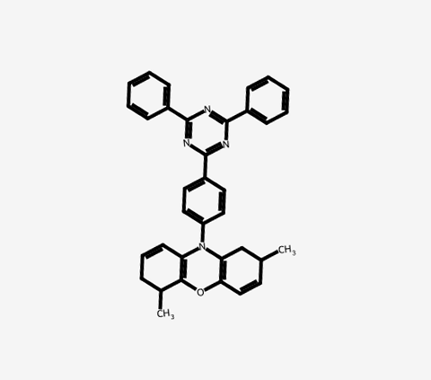 CC1C=CC2=C(C1)N(c1ccc(-c3nc(-c4ccccc4)nc(-c4ccccc4)n3)cc1)C1=C(O2)C(C)CC=C1